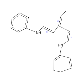 C/C=C(\C=C/NC1=CCCC=C1)/C=C/Nc1ccccc1